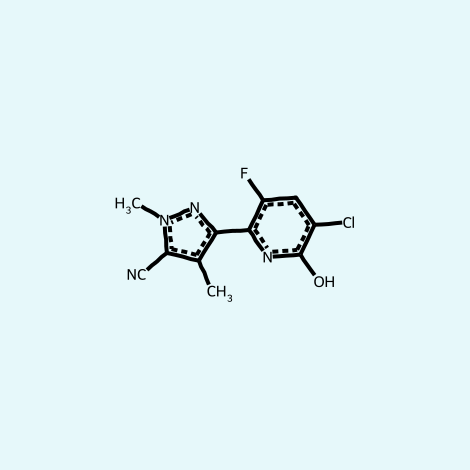 Cc1c(-c2nc(O)c(Cl)cc2F)nn(C)c1C#N